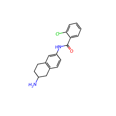 NC1CCc2cc(NC(=O)c3ccccc3Cl)ccc2C1